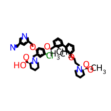 COC(=O)[C@@H]1CCCCN1CCCOc1cccc(-c2cccc(COc3cc(OCc4cncc(C#N)c4)c(CN4CCCC[C@H]4C(=O)O)cc3Cl)c2C)c1C